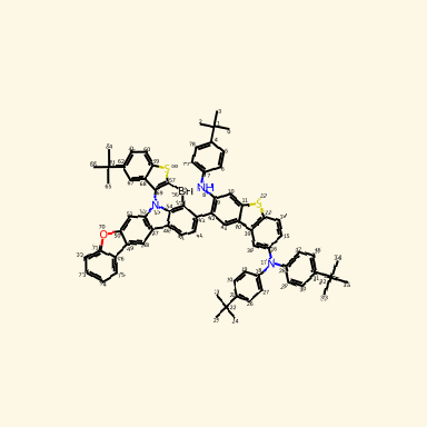 CC(C)(C)c1ccc(Nc2cc3sc4ccc(N(c5ccc(C(C)(C)C)cc5)c5ccc(C(C)(C)C)cc5)cc4c3cc2-c2ccc3c4cc5c(cc4n4c3c2Bc2sc3ccc(C(C)(C)C)cc3c2-4)oc2ccccc25)cc1